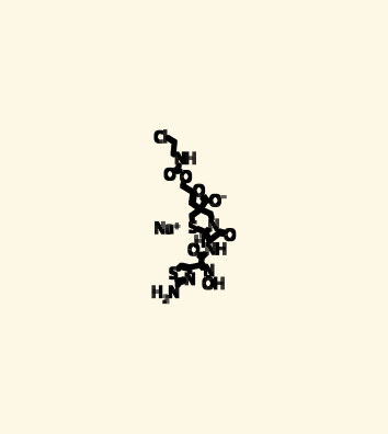 Nc1nc(C(=NO)C(=O)NC2C(=O)N3CC(C=CCOC(=O)NCCCl)(C(=O)[O-])CS[C@H]23)cs1.[Na+]